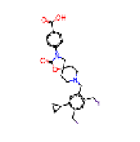 O=C(O)c1ccc(N2CC3(CCN(Cc4cc(C5CC5)c(CI)cc4CI)CC3)OC2=O)cc1